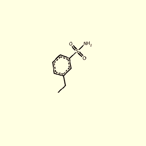 CCc1cccc(S(N)(=O)=O)c1